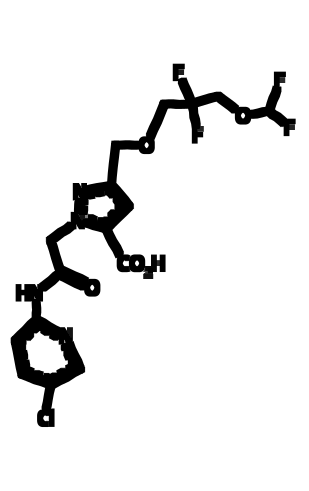 O=C(Cn1nc(COCC(F)(F)COC(F)F)cc1C(=O)O)Nc1ccc(Cl)cn1